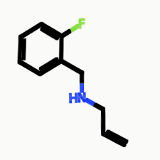 C=CCNCc1ccccc1F